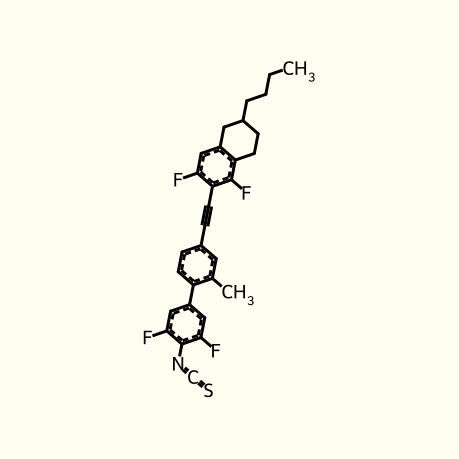 CCCCC1CCc2c(cc(F)c(C#Cc3ccc(-c4cc(F)c(N=C=S)c(F)c4)c(C)c3)c2F)C1